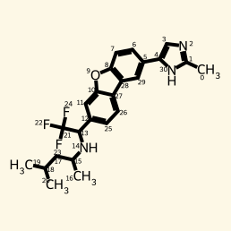 Cc1ncc(-c2ccc3oc4cc(C(NC(C)CC(C)C)C(F)(F)F)ccc4c3c2)[nH]1